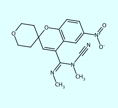 CN=C(C1=CC2(CCOCC2)Oc2ccc([N+](=O)[O-])cc21)N(C)C#N